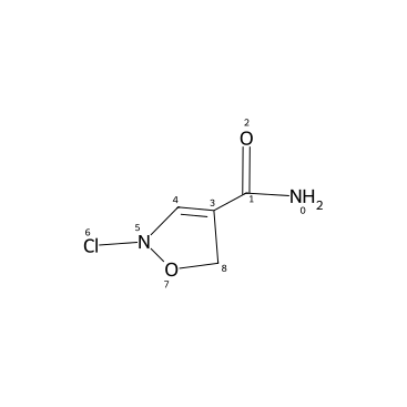 NC(=O)C1=CN(Cl)OC1